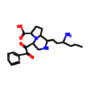 CCCC(N)CCC1NCC(C(=O)C(=O)c2ccccc2)N2C(C(=O)O)CCC12